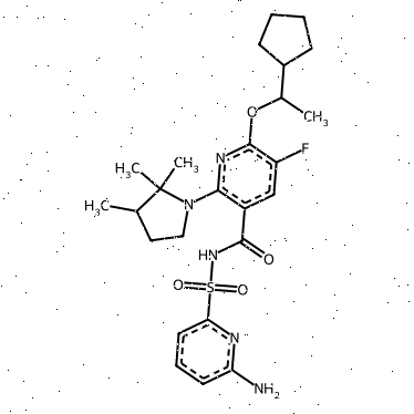 CC(Oc1nc(N2CCC(C)C2(C)C)c(C(=O)NS(=O)(=O)c2cccc(N)n2)cc1F)C1CCCC1